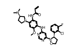 C=CC(=O)Nc1cc(Nc2cc(N3OCC[C@@H]3c3cccc(F)c3Cl)ncn2)c(OC)cc1N1CC[C@@H](N(C)C)C1